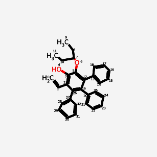 C=Cc1c(O)c(OC(CC)CC)c(-c2ccccc2)c(-c2ccccc2)c1-c1ccccc1